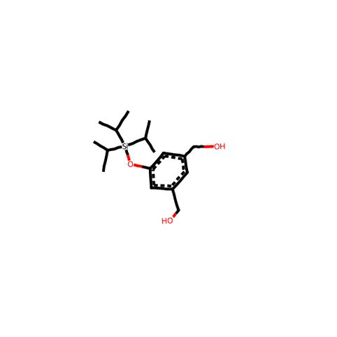 CC(C)[Si](Oc1cc(CO)cc(CO)c1)(C(C)C)C(C)C